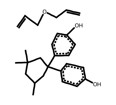 C=CCOCC=C.CC1CC(C)(C)CC(c2ccc(O)cc2)(c2ccc(O)cc2)C1